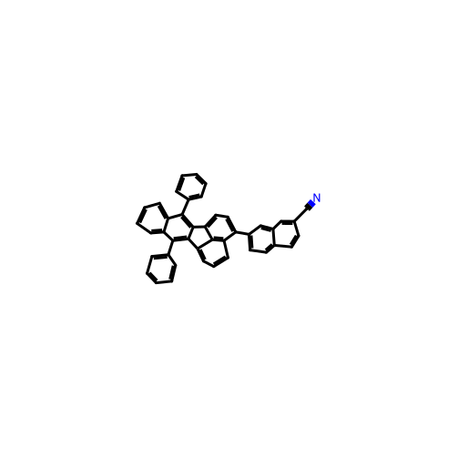 N#Cc1ccc2ccc(-c3ccc4c5c(cccc35)-c3c-4c(-c4ccccc4)c4ccccc4c3-c3ccccc3)cc2c1